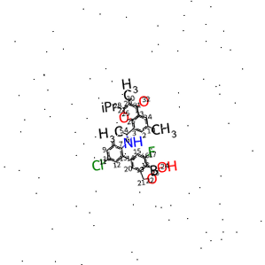 Cc1cc(C(C)Nc2ccc(Cl)cc2-c2cc(F)c3c(c2)COB3O)c2oc(C(C)C)c(C)c(=O)c2c1